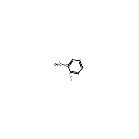 O=[CH][Ge]1=[CH]C=CC=[CH]1.[C]